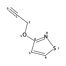 C#CCOc1ccsn1